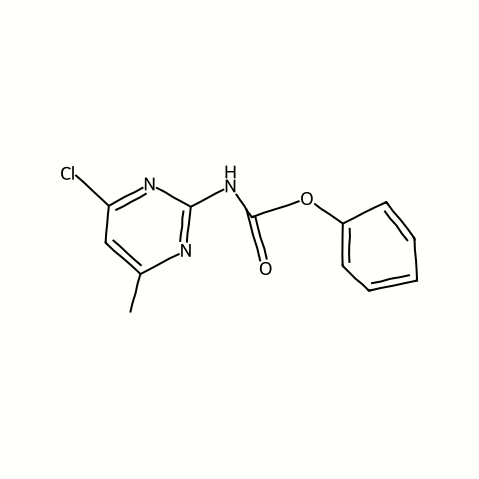 Cc1cc(Cl)nc(NC(=O)Oc2ccccc2)n1